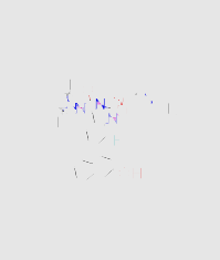 CN1CCC[C@H]1COc1nc(N2C[C@H]3CC[C@@H](C2)N3CC(=O)N2CCOCC2)c2ccc(-c3cc(O)cc4ccccc34)c(F)c2n1